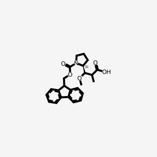 COC(C(C)C(=O)O)[C@@H]1CCCN1C(=O)OCC1c2ccccc2-c2ccccc21